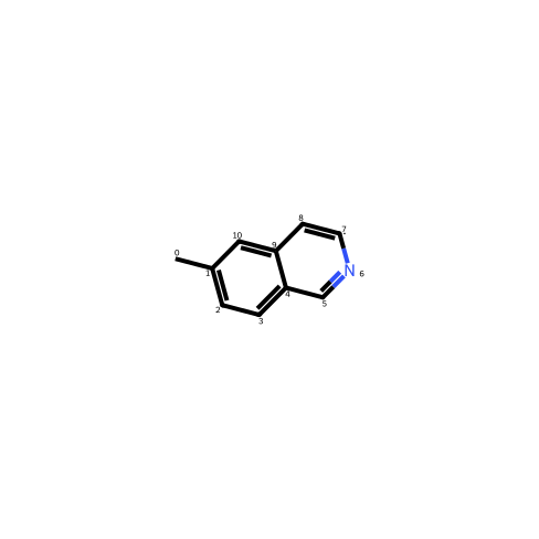 Cc1ccc2cn[c]cc2c1